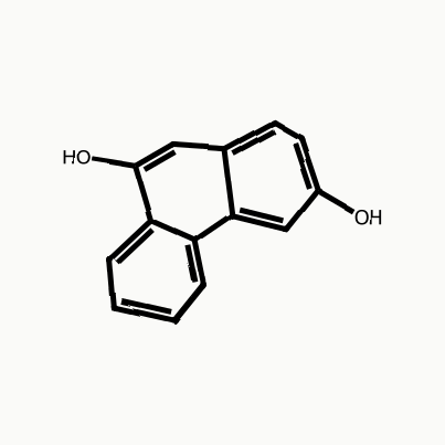 Oc1ccc2cc(O)c3ccccc3c2c1